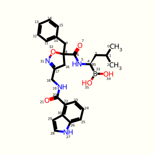 CC(C)C[C@H](NC(=O)C1(Cc2ccccc2)CC(CNC(=O)c2cccc3[nH]ccc23)=NO1)B(O)O